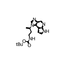 C=C(CCNC(=O)OC(C)(C)C)n1cnc2cnc3[nH]ccc3c21